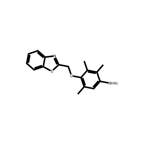 CC(=O)Nc1cc(C)c(OCc2nc3ccccc3s2)c(C)c1C